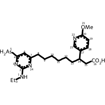 CCNc1nc([AsH2])cc(CCCCCCC(CC(=O)O)c2ccc(OC)nc2)n1